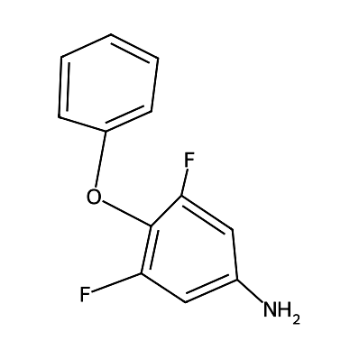 Nc1cc(F)c(Oc2ccccc2)c(F)c1